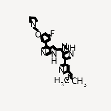 CN(C)Cc1cncc(-c2cnc3[nH]nc(-c4cc5c(-c6cc(F)cc(OCCN7CCCC7)c6)cncc5[nH]4)c3c2)c1